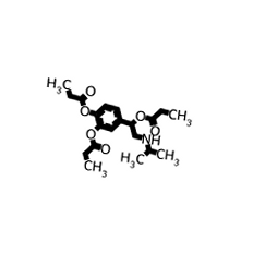 CCC(=O)Oc1ccc(C(CNC(C)C)OC(=O)CC)cc1OC(=O)CC